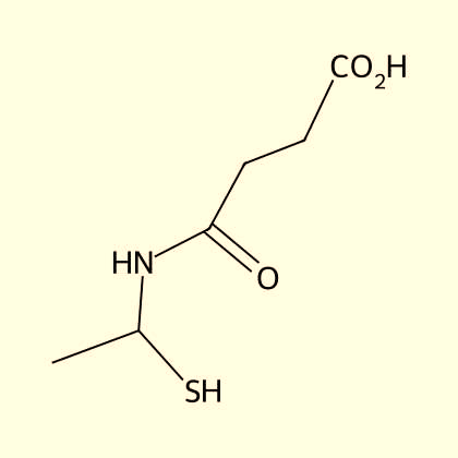 CC(S)NC(=O)CCC(=O)O